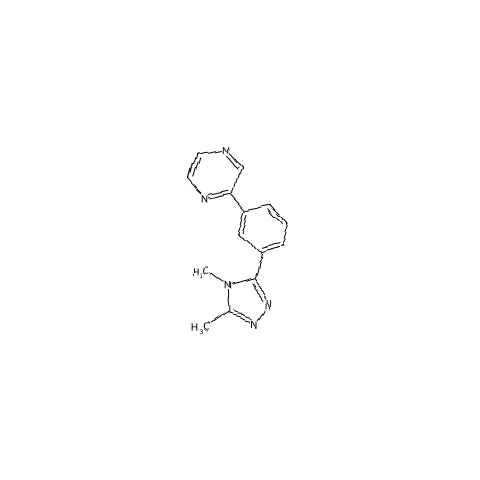 Cc1nnc(-c2cccc(-c3cnccn3)c2)n1C